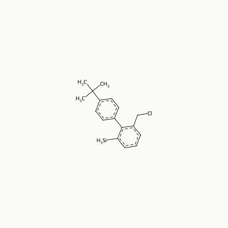 CC(C)(C)c1ccc(-c2c([SiH3])cccc2CCl)cc1